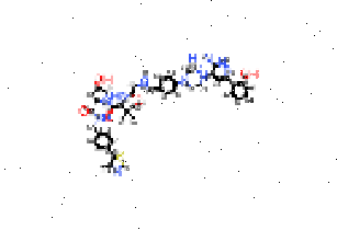 Cc1ncsc1-c1ccc(CNC(=O)[C@@H]2C[C@@H](O)CN2C(=O)[C@@H](NC(=O)CN(C)Cc2ccc(N3CCN(c4cc(-c5ccccc5O)nnc4N)CC3)cc2)C(C)(C)C)cc1